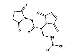 CB(O)NC[C@@H](C(=O)ON1C(=O)CCC1=O)N1C(=O)C=CC1=O